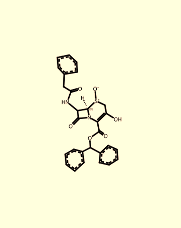 O=C(Cc1ccccc1)NC1C(=O)N2C(C(=O)OC(c3ccccc3)c3ccccc3)=C(O)C[S+]([O-])[C@H]12